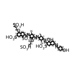 Cc1cc(N=Nc2c(S(=O)(=O)O)cc3cc(N=Nc4ccc(O)cc4)ccc3c2O)c(C)cc1N=Nc1cc(C)c(N=Nc2ccc3c(OCCCS(=O)(=O)O)cc(S(=O)(=O)O)cc3c2S(=O)(=O)O)cc1OCCCS(=O)(=O)O